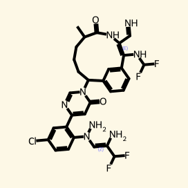 CC1CCCC(n2cnc(-c3cc(Cl)ccc3N(N)/C=C(\N)C(F)F)cc2=O)c2cccc(c2)/C(NC(F)F)=C(/C=N)NC1=O